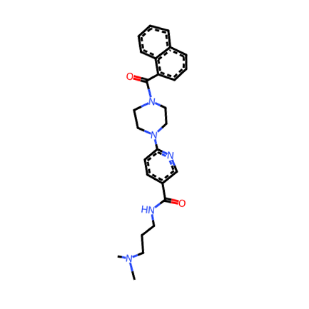 CN(C)CCCNC(=O)c1ccc(N2CCN(C(=O)c3cccc4ccccc34)CC2)nc1